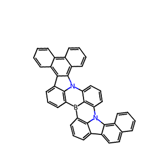 c1cc2c3c(c1)-n1c4c(cccc4c4c5ccccc5c5ccccc5c41)B3c1cccc3c4ccc5ccccc5c4n-2c13